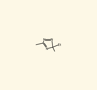 [CH2]CC1(C)N=NC(C)=N1